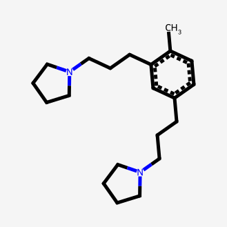 Cc1ccc(CCCN2CCCC2)cc1CCCN1CCCC1